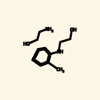 Cc1ccccc1NCCO.NCCO